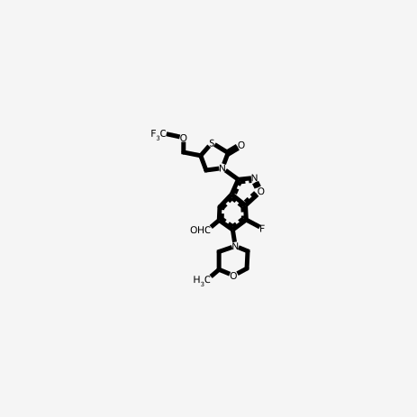 CC1CN(c2c(C=O)cc3c(N4CC(COC(F)(F)F)SC4=O)noc3c2F)CCO1